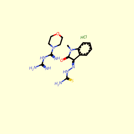 CN1C(=O)/C(=N\NC(N)=S)c2ccccc21.Cl.N=C(N)NC(=N)N1CCOCC1